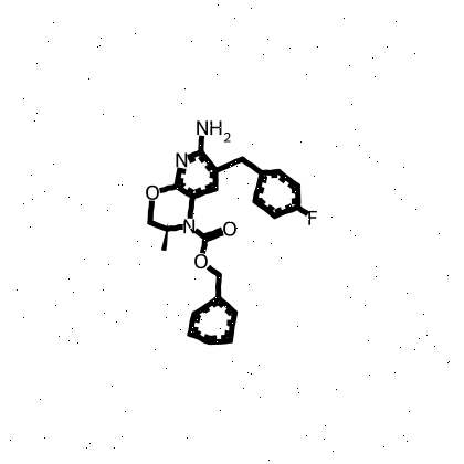 C[C@H]1COc2nc(N)c(Cc3ccc(F)cc3)cc2N1C(=O)OCc1ccccc1